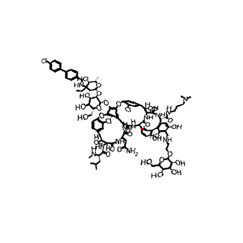 CCC1(NCc2ccc(-c3ccc(Cl)cc3)cc2)C[C@H](O[C@@H]2C(O)C(O)[C@@H](CO)O[C@H]2Oc2c3cc4cc2Oc2ccc(cc2Cl)[C@@H](O)[C@@H](NC(=O)[C@@H](CC(C)C)NC)C(=O)NC(CC(N)=O)C(=O)N[C@H]4C(=O)N[C@H]2C(=O)N[C@H](C(=O)N[C@H](C(=O)NCCCN(C)C)c4cc(O)c(CNCCOC5OC(CO)[C@@H](O)[C@H](O)[C@H]5O)c(O)c4-c4cc2ccc4O)[C@H](O)c2ccc(c(Cl)c2)O3)O[C@@H](C)[C@H]1O